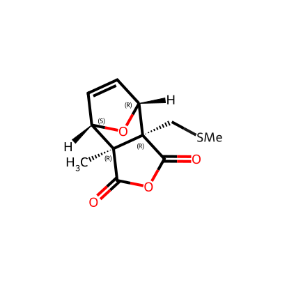 CSC[C@]12C(=O)OC(=O)[C@@]1(C)[C@@H]1C=C[C@H]2O1